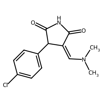 CN(C)C=C1C(=O)NC(=O)C1c1ccc(Cl)cc1